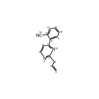 C=CCc1nccc(-c2ccccc2C#N)n1